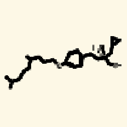 CC(C)CCCC(C)CCCOc1ccc(CC[C@@](N)(CO)CC2CC2)cc1